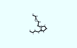 CCCCC1CCCN1CCOCC